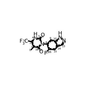 Cc1c(C(F)(F)F)[nH]c(=O)n(-c2cc3[nH]ncc3cc2F)c1=O